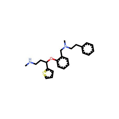 CNCCC(Oc1ccccc1CN(C)CCc1ccccc1)c1cccs1